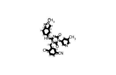 Cc1cncc(-n2c(=O)nc(Nc3ccc4nn(C)cc4c3)n(Cc3cc(C#N)ccc3Cl)c2=O)c1